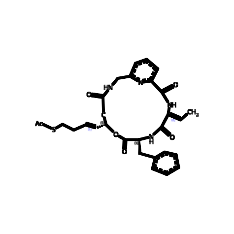 C/C=C1\NC(=O)c2cccc(n2)CNC(=O)C[C@@H](/C=C/CCSC(C)=O)OC(=O)[C@H](Cc2ccccc2)NC1=O